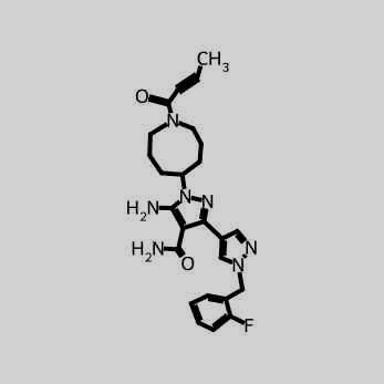 CC#CC(=O)N1CCCC(n2nc(-c3cnn(Cc4ccccc4F)c3)c(C(N)=O)c2N)CCC1